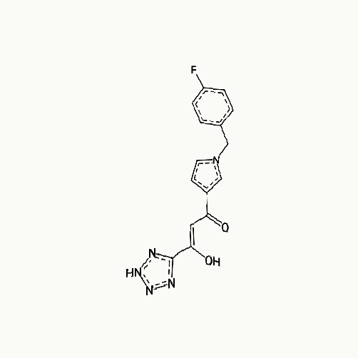 O=C(C=C(O)c1nn[nH]n1)c1ccn(Cc2ccc(F)cc2)c1